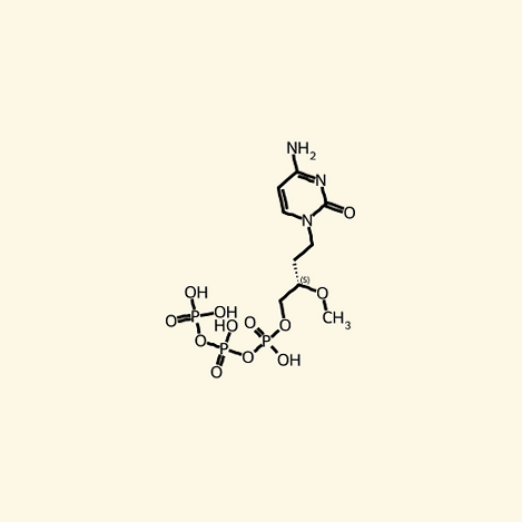 CO[C@@H](CCn1ccc(N)nc1=O)COP(=O)(O)OP(=O)(O)OP(=O)(O)O